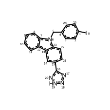 Ic1ccc(Cn2c3ccccc3c3cc(-c4nn[nH]n4)ccc32)cc1